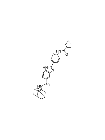 O=C(NC12CC3CC(CC(C3)C1)C2)c1ccc2[nH]c(-c3ccc(NC(=O)C4CCCC4)cc3)nc2c1